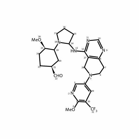 COc1ncc(N2CCc3ncnc(NC4CCCN4C4C[C@@H](C=O)CC[C@H]4OC)c3C2)cc1C(F)(F)F